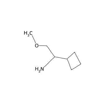 COCC(N)C1CCC1